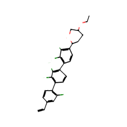 C=Cc1ccc(-c2ccc(-c3ccc(C4CCC(OCC)CO4)c(F)c3F)c(F)c2F)c(F)c1